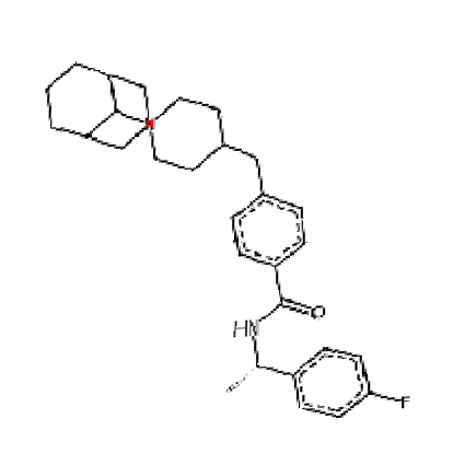 C[C@H](NC(=O)c1ccc(CC2CCN(C3C4CCCC3CCC4)CC2)cc1)c1ccc(F)cc1